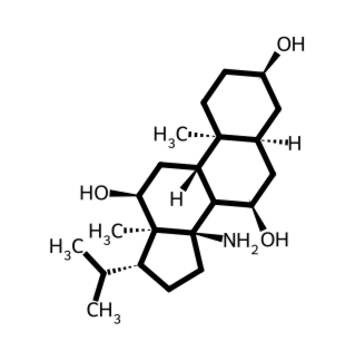 CC(C)[C@H]1CC[C@@]2(N)C3[C@H](O)C[C@@H]4C[C@H](O)CC[C@]4(C)[C@H]3C[C@H](O)[C@]12C